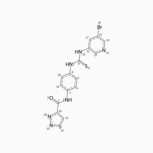 O=C(Nc1ccc(NC(=S)Nc2cncc(Br)c2)cc1)c1csnn1